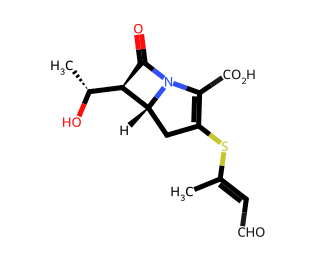 C/C(=C\C=O)SC1=C(C(=O)O)N2C(=O)[C@H]([C@@H](C)O)[C@H]2C1